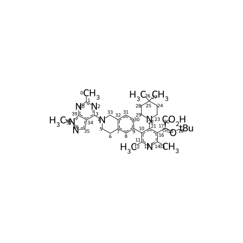 Cc1nc(N2CCc3cc(-c4c(C)nc(C)c([C@H](OC(C)(C)C)C(=O)O)c4N4CCC(C)(C)CC4)ccc3C2)c2cnn(C)c2n1